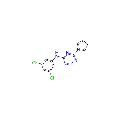 Clc1cc(Cl)cc(Nc2ncnc(-n3cccc3)n2)c1